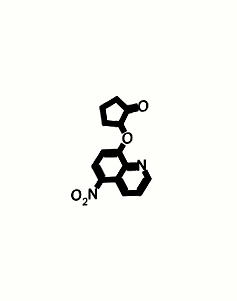 O=C1CCCC1Oc1ccc([N+](=O)[O-])c2cccnc12